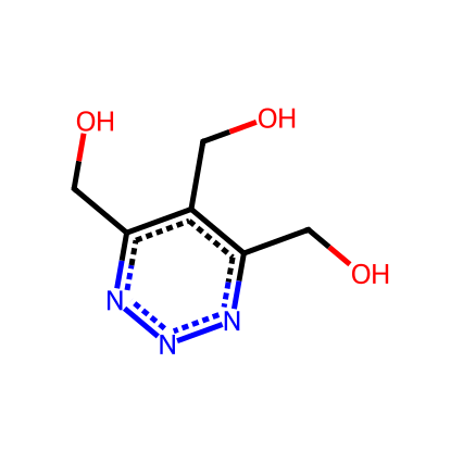 OCc1nnnc(CO)c1CO